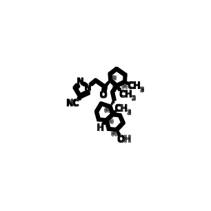 C[C@@H]1CCC[C@H](C(=O)Cn2cc(C#N)cn2)[C@@]1(C)CC[C@H]1CCC[C@H]2C[C@H](O)CC[C@]12C